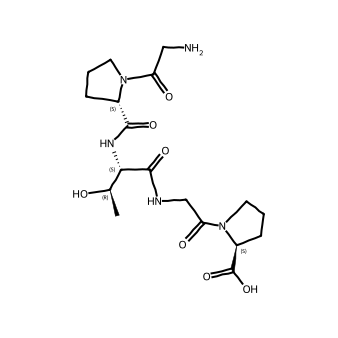 C[C@@H](O)[C@H](NC(=O)[C@@H]1CCCN1C(=O)CN)C(=O)NCC(=O)N1CCC[C@H]1C(=O)O